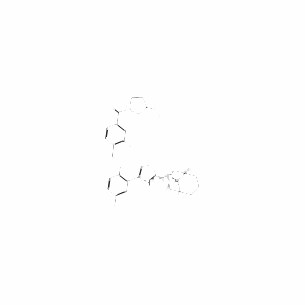 CCOC1CCN(C(=O)c2ccc(COc3ccc(C)cc3-c3csc(N4C[C@H]5CCC[C@@H](C4)[C@H]5C(=O)O)n3)c(C)c2)C1